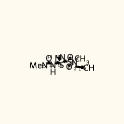 C#CCN(C)S(=O)(=O)c1nnc(NC(=O)NC)s1